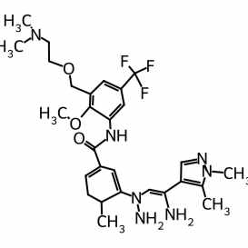 COc1c(COCCN(C)C)cc(C(F)(F)F)cc1NC(=O)C1=CCC(C)C(N(N)/C=C(\N)c2cnn(C)c2C)=C1